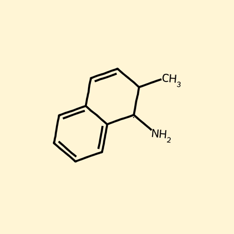 CC1C=Cc2ccccc2[C]1N